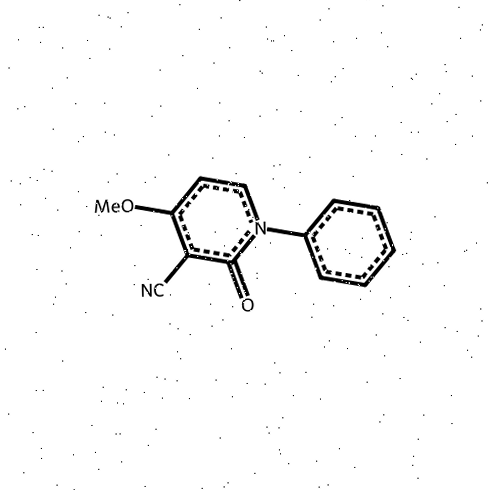 COc1ccn(-c2ccccc2)c(=O)c1C#N